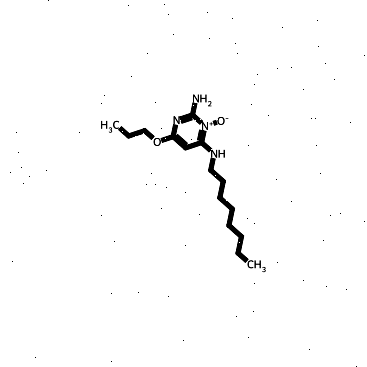 CCCCCCCCNc1cc(OCCC)nc(N)[n+]1[O-]